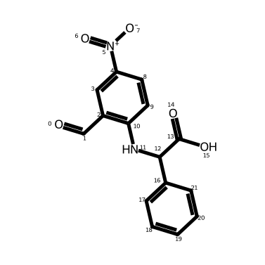 O=Cc1cc([N+](=O)[O-])ccc1NC(C(=O)O)c1ccccc1